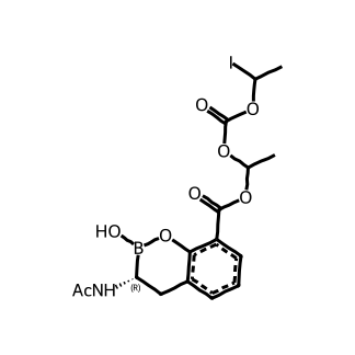 CC(=O)N[C@H]1Cc2cccc(C(=O)OC(C)OC(=O)OC(C)I)c2OB1O